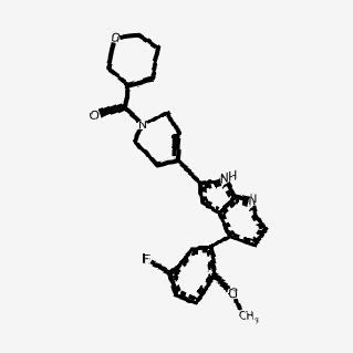 COc1ccc(F)cc1-c1ccnc2[nH]c(C3=CCN(C(=O)C4CCCOC4)CC3)cc12